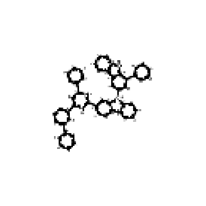 c1ccc(-c2cccc(-c3cc(-c4ccccc4)nc(-c4ccc5c6ccccc6n(-c6cc(-c7ccccc7)c7oc8ccccc8c7c6)c5c4)n3)c2)cc1